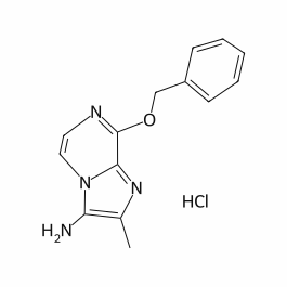 Cc1nc2c(OCc3ccccc3)nccn2c1N.Cl